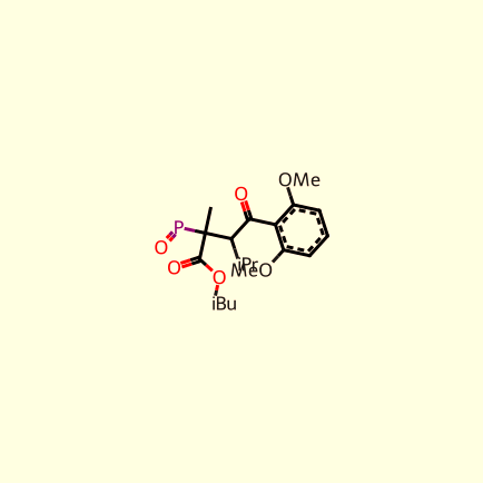 CCC(C)OC(=O)C(C)(P=O)C(C(=O)c1c(OC)cccc1OC)C(C)C